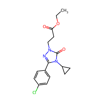 CCOC(=O)CCn1nc(-c2ccc(Cl)cc2)n(C2CC2)c1=O